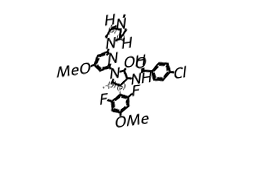 COc1cc(N2C[C@@H]3C[C@H]2CN3C)nc(N2C(O)C(NC(=O)c3ccc(Cl)cc3)[C@H](c3c(F)cc(OC)cc3F)[C@@H]2C)c1